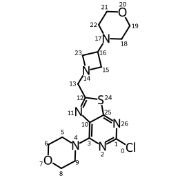 Clc1nc(N2CCOCC2)c2nc(CN3CC(N4CCOCC4)C3)sc2n1